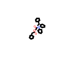 O=C(Cc1ccccc1)OCC(=O)[N+](CCc1ccccc1)(c1ccccc1)c1ccccc1